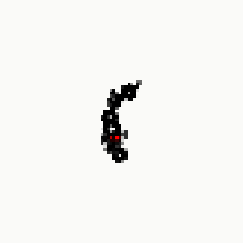 Cn1nc(-c2ccc3c(c2)C[C@H]2CC[C@@H](C3)[C@H]2NS(=O)(=O)N2CCCC2)cc1-c1ccc(F)cc1